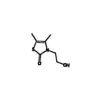 Cc1sc(=O)n(CCO)c1C